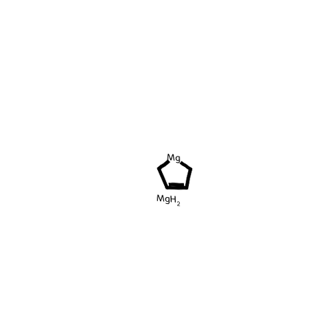 C1=C[CH2][Mg][CH2]1.[MgH2]